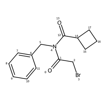 O=C(CBr)N(Cc1ccccc1)C(=O)C1CCC1